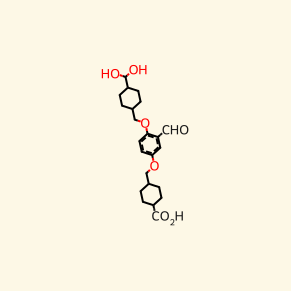 O=Cc1cc(OCC2CCC(C(=O)O)CC2)ccc1OCC1CCC(C(O)O)CC1